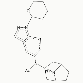 CCCN1C2CCC1CC(N(C(C)=O)c1ccc3c(cnn3C3CCCCO3)c1)C2